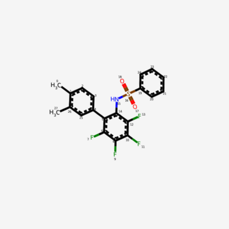 Cc1ccc(-c2c(F)c(F)c(F)c(F)c2NS(=O)(=O)c2ccccc2)cc1C